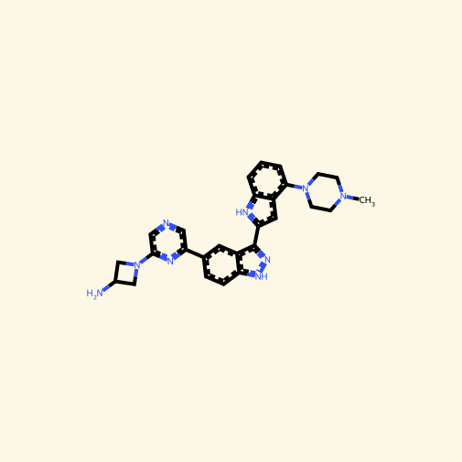 CN1CCN(c2cccc3[nH]c(-c4n[nH]c5ccc(-c6cncc(N7CC(N)C7)n6)cc45)cc23)CC1